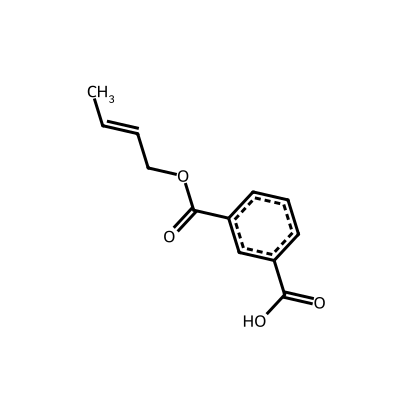 CC=CCOC(=O)c1cccc(C(=O)O)c1